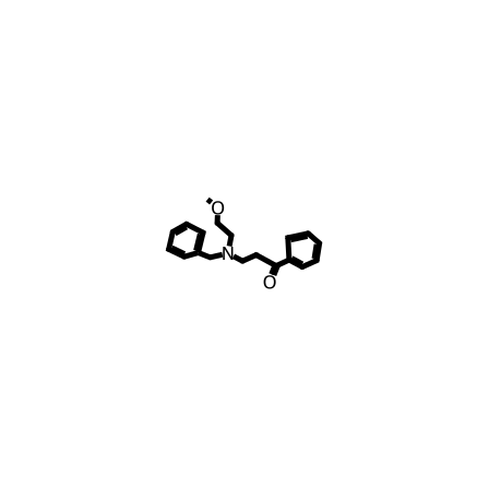 COCCN(CCC(=O)c1ccccc1)Cc1ccccc1